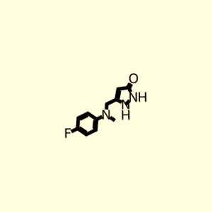 CN(Cc1cc(=O)[nH][nH]1)c1ccc(F)cc1